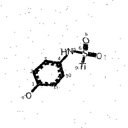 [O]c1ccc(N[S](=O)(=O)[Ti])cc1